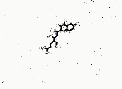 C=C/C(CCC(=C)C)=C(\C=C(/C)c1nc2ccc(CC)cc2c(CC)c1CC)CCC